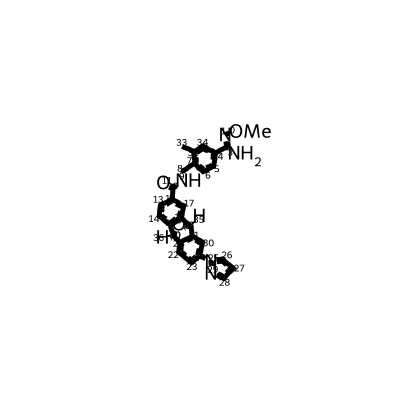 CON=C(N)c1ccc(CNC(=O)c2ccc3c(c2)[C@@H]2O[C@H]3c3ccc(-n4cccn4)cc32)c(C)c1